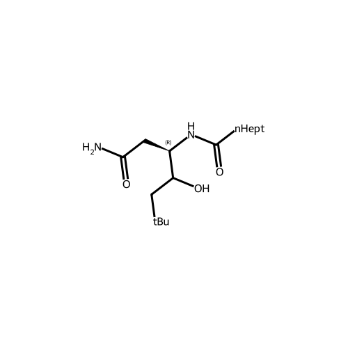 CCCCCCCC(=O)N[C@H](CC(N)=O)C(O)CC(C)(C)C